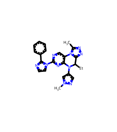 CCC1c2nnc(C)n2-c2cnc(-n3ccnc3-c3ccccc3)nc2N1c1cnn(C)c1